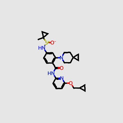 CC1([S+]([O-])Nc2ccc(C(=O)Nc3cccc(OCC4CC4)n3)c(N3CCC4(CC3)CC4)c2)CC1